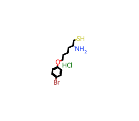 Cl.N[C@@H](CS)CCCCOc1ccc(Br)cc1